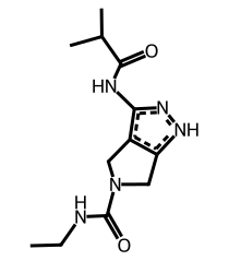 CCNC(=O)N1Cc2[nH]nc(NC(=O)C(C)C)c2C1